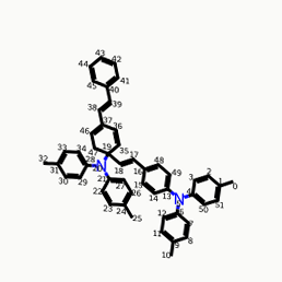 Cc1ccc(N(c2ccc(C)cc2)c2ccc(C=CC3(N(c4ccc(C)cc4)c4ccc(C)cc4)C=CC(C=Cc4ccccc4)=CC3)cc2)cc1